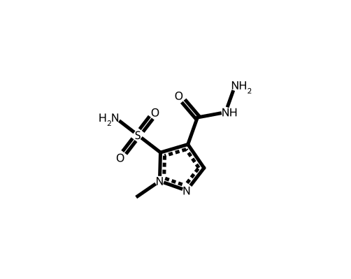 Cn1ncc(C(=O)NN)c1S(N)(=O)=O